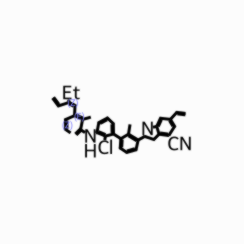 C=C\C(=C/C(/C=C\C)=C(\C)C(=C)Nc1cccc(-c2cccc(C3=Nc4cc(C=C)cc(C#N)c4C3)c2C)c1Cl)CC